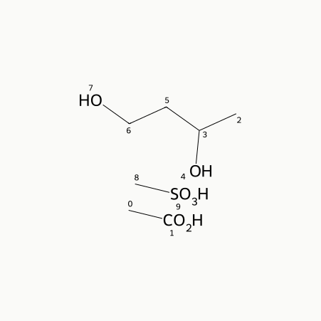 CC(=O)O.CC(O)CCO.CS(=O)(=O)O